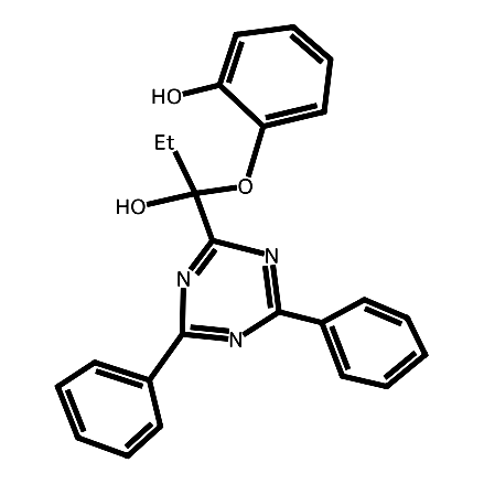 CCC(O)(Oc1ccccc1O)c1nc(-c2ccccc2)nc(-c2ccccc2)n1